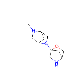 CN1CC2CC1CN2C12CNC(CO1)C2